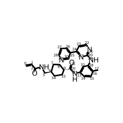 C=CC(=O)NC[C@H]1CC[C@H](C(=O)Nc2ccc(C)c(Nc3nccc(-c4cccnc4)n3)c2)CC1